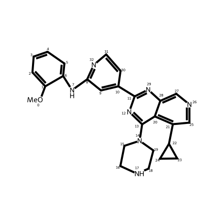 COc1ccccc1Nc1cc(-c2nc(N3CCNCC3)c3c(C4CC4)cncc3n2)ccn1